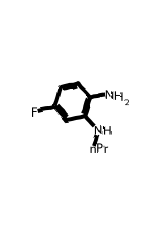 CCCNc1cc(F)ccc1N